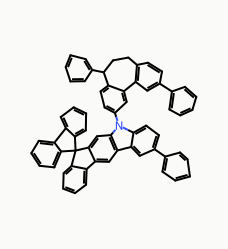 c1ccc(-c2ccc3c(c2)-c2cc(-n4c5ccc(-c6ccccc6)cc5c5cc6c(cc54)C4(c5ccccc5-c5ccccc54)c4ccccc4-6)ccc2C(c2ccccc2)CC3)cc1